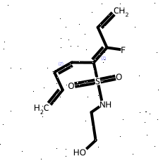 C=C/C=C\C(=C(\F)C=C)S(=O)(=O)NCCO